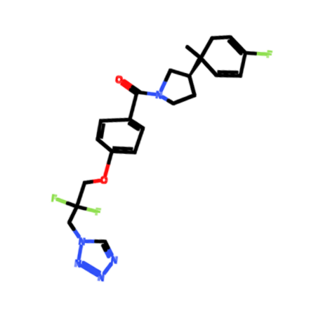 CC1([C@H]2CCN(C(=O)c3ccc(OCC(F)(F)Cn4cnnn4)cc3)C2)C=CC(F)=CC1